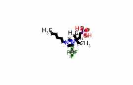 CCCCCC[n+]1ccn(C(CC)(CC)CCP(=O)(O)O)c1.F[B-](F)(F)F